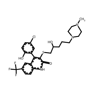 CN1CCN(CCCC(O)CSc2c(-c3cc(Cl)ccc3O)c3cc(C(F)(F)F)ccc3[nH]c2=O)CC1